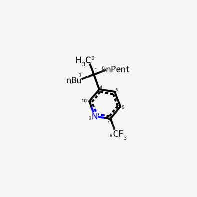 CCCCCC(C)(CCCC)c1ccc(C(F)(F)F)nc1